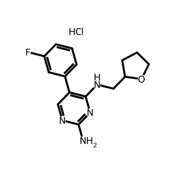 Cl.Nc1ncc(-c2cccc(F)c2)c(NCC2CCCO2)n1